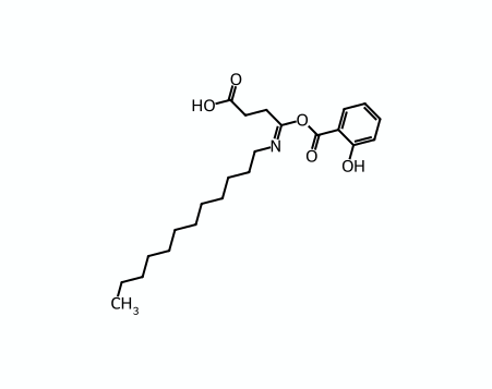 CCCCCCCCCCCCN=C(CCC(=O)O)OC(=O)c1ccccc1O